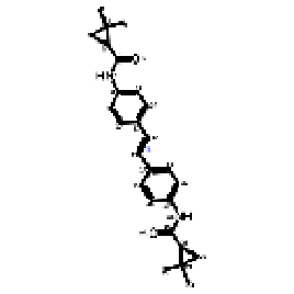 CC1(C)CC1C(=O)Nc1ccc(/C=C/c2ccc(NC(=O)C3CC3(C)C)cc2)cc1